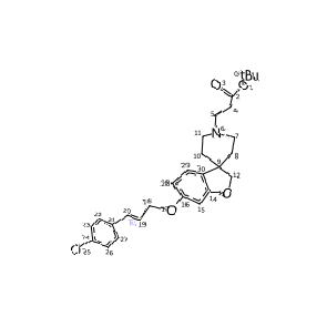 CC(C)(C)OC(=O)CCN1CCC2(CC1)COc1cc(OC/C=C/c3ccc(Cl)cc3)ccc12